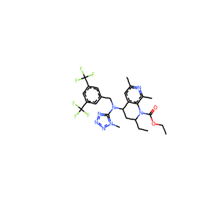 CCOC(=O)N1c2c(cc(C)nc2C)C(N(Cc2cc(C(F)(F)F)cc(C(F)(F)F)c2)c2nnnn2C)CC1CC